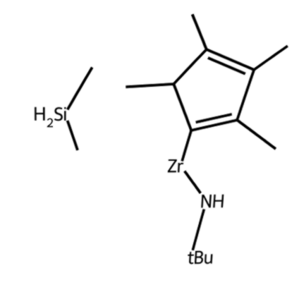 CC1=C(C)C(C)[C]([Zr][NH]C(C)(C)C)=C1C.C[SiH2]C